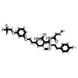 C=NN(CCc1ccc(F)cc1)/C(NC(=O)CSC)=C1\CCC(CCOc2cccc(OCC(F)(F)F)c2)NC1=O